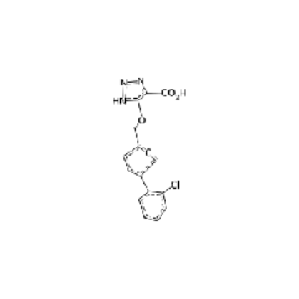 O=C(O)c1nn[nH]c1OCc1ccc(-c2ccccc2Cl)cc1